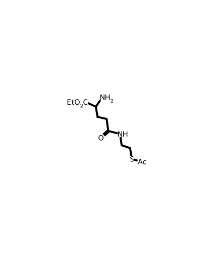 CCOC(=O)C(N)CCC(=O)NCCSC(C)=O